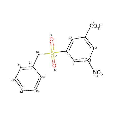 O=C(O)c1cc([N+](=O)[O-])cc(S(=O)(=O)Cc2ccccc2)c1